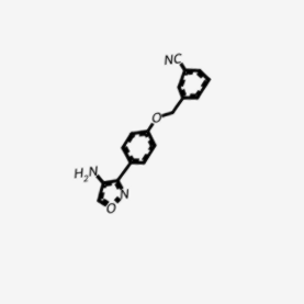 N#Cc1cccc(COc2ccc(-c3nocc3N)cc2)c1